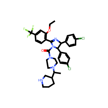 CCOc1cc(C(F)(F)F)ccc1C1=NC(c2ccc(Cl)cc2)C(c2ccc(Cl)cc2)N1C(=O)N1CCN(C(C)C2CCCNC2)CC1